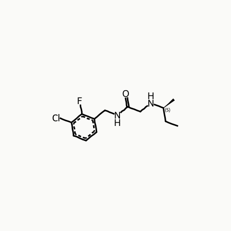 CC[C@H](C)NCC(=O)NCc1cccc(Cl)c1F